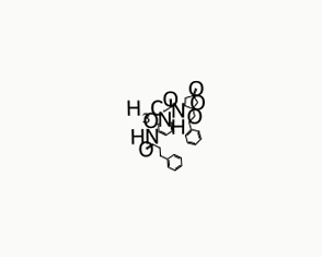 C[C@@H](C(=O)NC1CC(=O)OC1OCc1ccccc1)n1cccc(NC(=O)CCc2ccccc2)c1=O